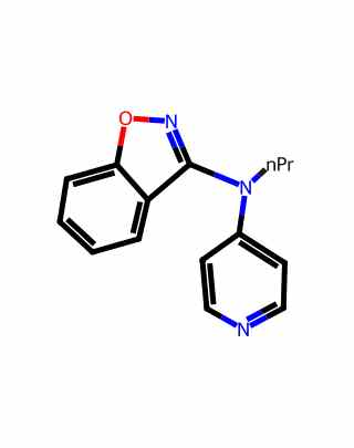 CCCN(c1ccncc1)c1noc2ccccc12